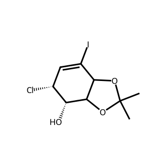 CC1(C)OC2C(I)=C[C@@H](Cl)[C@@H](O)C2O1